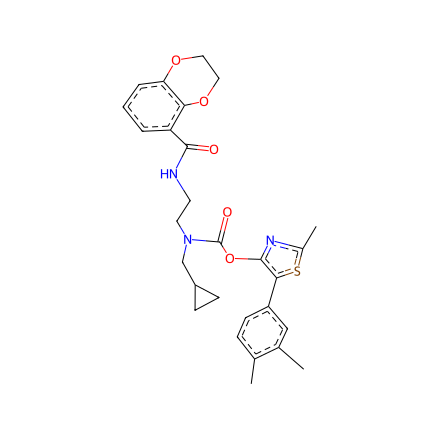 Cc1nc(OC(=O)N(CCNC(=O)c2cccc3c2OCCO3)CC2CC2)c(-c2ccc(C)c(C)c2)s1